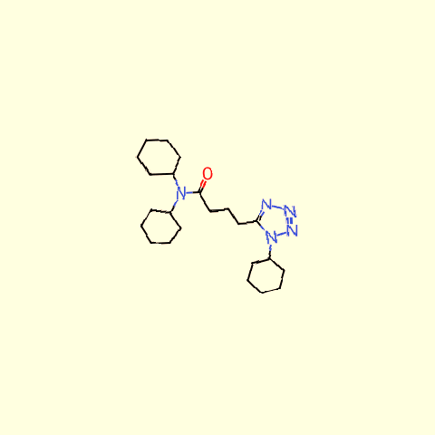 O=C(CCCc1nnnn1C1CCCCC1)N(C1CCCCC1)C1CCCCC1